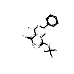 C[C@H](OCc1ccccc1)[C@@H](C(=O)O)N(C)C(=O)OC(C)(C)C